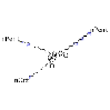 CCCCC/C=C/C/C=C/C/C=C/CCCCC(=O)OCC(COC(=O)CCCCCCC/C=C/CCCCCCCC)OC(=O)CCCCCCC/C=C/C/C=C/CCCCC